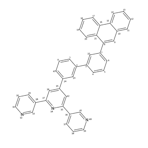 c1cc(-c2cccc(-c3cc4ccccc4c4ccccc34)c2)cc(-c2cc(-c3cccnc3)nc(-c3cccnc3)c2)c1